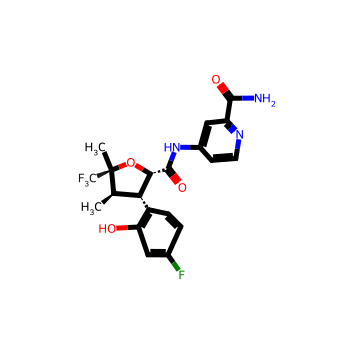 C[C@@H]1[C@@H](c2ccc(F)cc2O)[C@@H](C(=O)Nc2ccnc(C(N)=O)c2)O[C@]1(C)C(F)(F)F